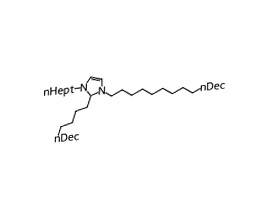 CCCCCCCCCCCCCCCCCCCN1C=CN(CCCCCCC)C1CCCCCCCCCCCCCC